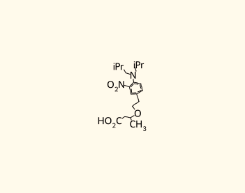 CC(C)CN(CC(C)C)c1ccc(CCOC(C)CC(=O)O)cc1[N+](=O)[O-]